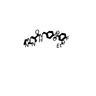 CCOc1cc(S(=O)(=O)c2ccc(CNC(=O)c3cnc4nccn4c3)cc2)ccc1F